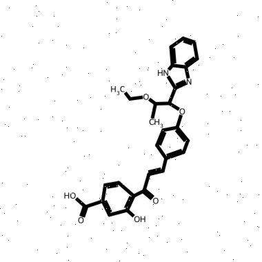 CCOC(C)C(Oc1ccc(C=CC(=O)c2ccc(C(=O)O)cc2O)cc1)c1nc2ccccc2[nH]1